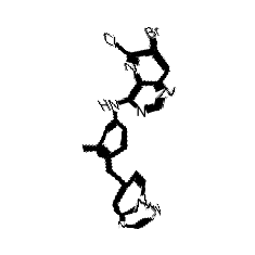 Cc1cc(Nc2ncnc3cc(Br)c(Cl)nc23)ccc1Cc1ccn2ncnc2c1